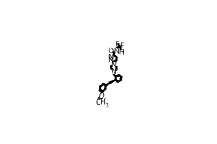 CCOc1cccc(C#Cc2ccccc2CN2CCN(c3ccc(C(=O)NCC(F)(F)F)nn3)CC2)c1